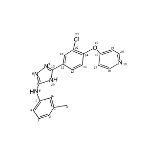 Cc1cccc(Nc2nnc(-c3ccc(Oc4ccncc4)c(Cl)c3)[nH]2)c1